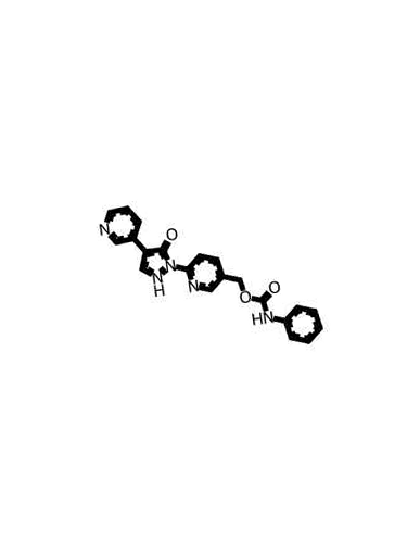 O=C(Nc1ccccc1)OCc1ccc(-n2[nH]cc(-c3cccnc3)c2=O)nc1